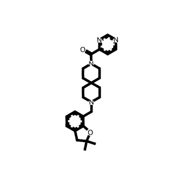 CC1(C)Cc2cccc(CN3CCC4(CC3)CCN(C(=O)c3ccncn3)CC4)c2O1